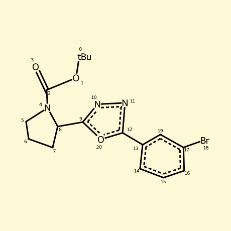 CC(C)(C)OC(=O)N1CCCC1c1nnc(-c2cccc(Br)c2)o1